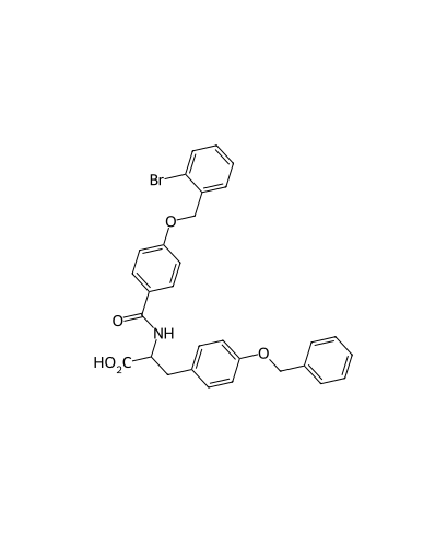 O=C(NC(Cc1ccc(OCc2ccccc2)cc1)C(=O)O)c1ccc(OCc2ccccc2Br)cc1